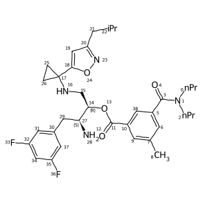 CCCN(CCC)C(=O)c1cc(C)cc(C(=O)O[C@H](CNC2(c3cc(CC(C)C)no3)CC2)[C@@H](N)Cc2cc(F)cc(F)c2)c1